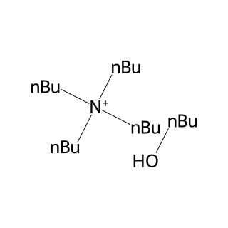 CCCCO.CCCC[N+](CCCC)(CCCC)CCCC